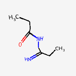 CCC(=N)NC(=O)CC